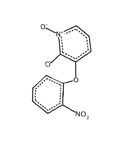 O=[N+]([O-])c1ccccc1Oc1ccc[n+]([O-])c1Cl